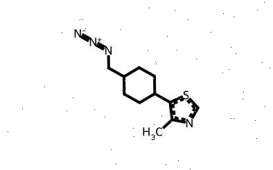 Cc1ncsc1C1CCC(CN=[N+]=[N-])CC1